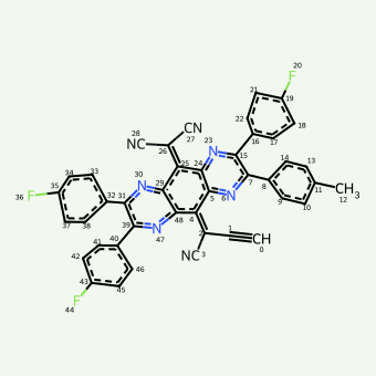 C#C/C(C#N)=c1\c2nc(-c3ccc(C)cc3)c(-c3ccc(F)cc3)nc2c(=C(C#N)C#N)c2nc(-c3ccc(F)cc3)c(-c3ccc(F)cc3)nc12